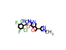 C[C@@H](Oc1c(N)ncc2c(-c3cnn(C)c3)coc12)c1c(Cl)c(F)cc(F)c1Cl